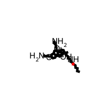 CCCCCCCCNCCCC(C)C1CC[C@H]2C3[C@H](OCCCN)CC4C[C@H](OCCCN)CCC4(C)[C@H]3C[C@H](O)C12C